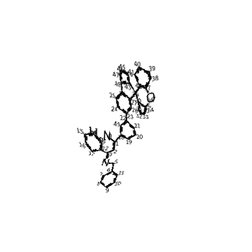 N/C(=C\C(=N/Cc1ccccc1)c1ccccc1)c1cccc(-c2ccc3c(c2)C2(c4ccccc4Oc4ccccc42)c2ccccc2-3)c1